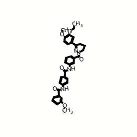 CCOc1cc(C2=NN(C(=O)c3cccc(NC(=O)c4ccc(NC(=O)c5cccc(OC)c5)cc4)c3)CCC2)ccc1OC